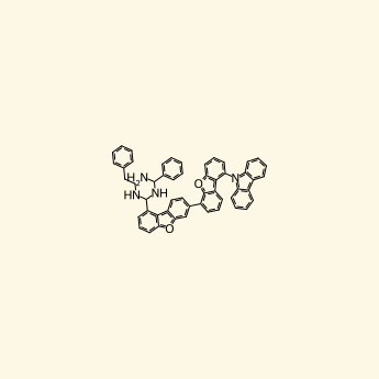 NC(NC(NCCc1ccccc1)c1cccc2oc3cc(-c4cccc5c4oc4cccc(-n6c7ccccc7c7ccccc76)c45)ccc3c12)c1ccccc1